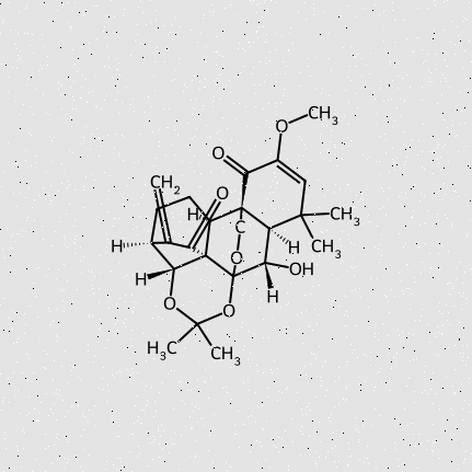 C=C1C(=O)[C@@]23[C@@H]4OC(C)(C)OC25OC[C@]2(C(=O)C(OC)=CC(C)(C)[C@H]2[C@@H]5O)[C@@H]3CC[C@@H]14